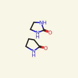 O=C1CCCN1.O=C1NCCN1